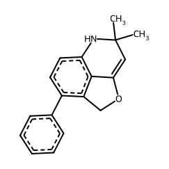 CC1(C)C=C2OCc3c(-c4ccccc4)ccc(c32)N1